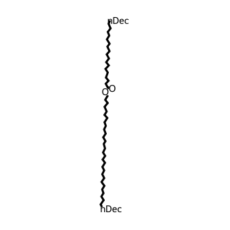 CCCCCCCCCCCCCCCCCCCCCCCCCCCCCCCCCCCCCCCCOC(=O)CCCCCCCCCCCCCCCCCCCCCCCCCCC